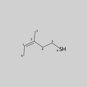 CC=C(C)CCS